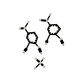 N#Cc1cc([N+](=O)[O-])ccc1[N+]#N.N#Cc1cc([N+](=O)[O-])ccc1[N+]#N.O=S(=O)([O-])[O-]